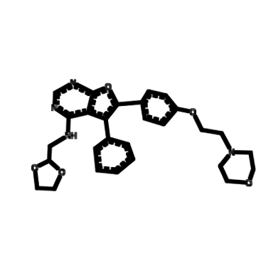 c1ccc(-c2c(-c3ccc(OCCN4CCOCC4)cc3)oc3ncnc(NCC4OCCO4)c23)cc1